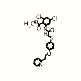 COC(=O)c1c(Cl)cc(Cl)cc1NC(=O)CSc1ccc(OCCc2ccccn2)cc1